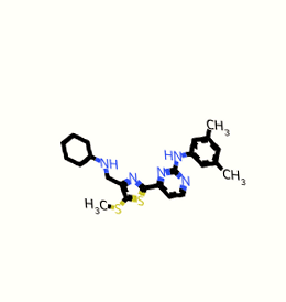 CSc1sc(-c2ccnc(Nc3cc(C)cc(C)c3)n2)nc1CNC1CCCCC1